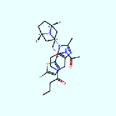 CCCC(=O)N1CCc2c(nc(C)n2[C@H]2C[C@H]3CC[C@@H](C2)N3CC[C@H](NC(C)=O)c2ccc(F)s2)C1